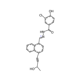 CC(O)C#Cc1ccc(/C=N/NC(=O)c2ccc(O)c(Cl)c2)c2ccccc12